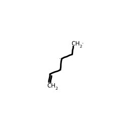 [CH2]C[CH]CC=C